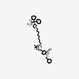 CC(C)(C)[Si](C)(C)O[C@H](CNCCCCCCCCCN1CC[C@@H](C(C(N)=O)(c2ccccc2)c2ccccc2)C1)c1ccc(OCc2ccccc2)c(NC=O)c1